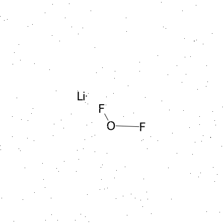 FOF.[Li]